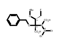 CC[SiH](CC)N(C(=O)O)[C@@](OCc1ccccc1)(C(=O)O)[C@@H](CF)OC(C)(C)C